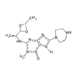 CCn1c(N2CCNCC2)nc2nc(N[C@@H](C)C3OC(C)O3)n(C)c(=O)c21